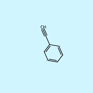 C#Cc1[c]cc[c]c1